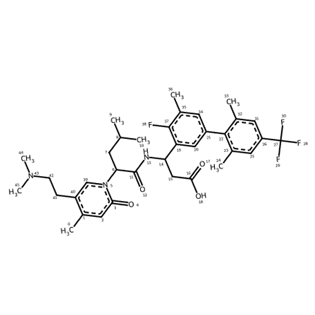 Cc1cc(=O)n(C(CC(C)C)C(=O)NC(CC(=O)O)c2cc(-c3c(C)cc(C(F)(F)F)cc3C)cc(C)c2F)cc1CCN(C)C